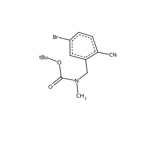 CN(Cc1cc(Br)ccc1C#N)C(=O)OC(C)(C)C